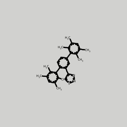 Cc1cc(C)c(C)c(-c2ccc(-c3c(C)c(C)cc(C)c3C)c(-c3csnn3)c2)c1C